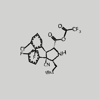 CC(C)(C)C[C@@H]1N[C@@H](C(=O)OC(=O)C(F)(F)F)[C@H](c2cccc(Cl)c2F)[C@@]1(C#N)c1ccc(F)cc1